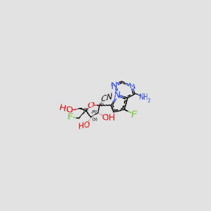 N#C[C@@]1(c2cc(F)c3c(N)ncnn23)O[C@@](CO)(CF)[C@@H](O)[C@H]1O